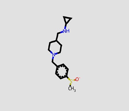 C[S+]([O-])c1ccc(CN2CCC(CNC3CC3)CC2)cc1